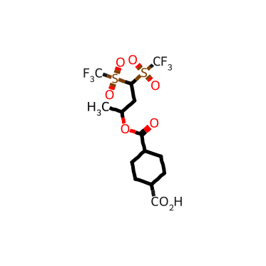 CC(CC(S(=O)(=O)C(F)(F)F)S(=O)(=O)C(F)(F)F)OC(=O)C1CCC(C(=O)O)CC1